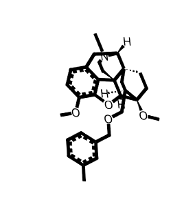 COc1ccc2c3c1O[C@H]1[C@@]4(OC)CC[C@@]5(C[C@@H]4COCc4cccc(C)c4)[C@@H](C2)N(C)CC[C@]315